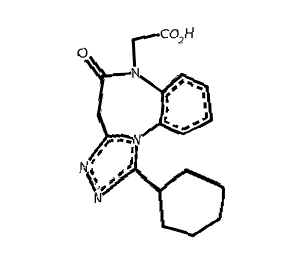 O=C(O)CN1C(=O)Cc2nnc(C3CCCCC3)n2-c2ccccc21